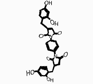 O=C1CC(Cc2ccc(O)cc2O)C(=O)N1c1ccc(N2C(=O)CC(Cc3ccc(O)cc3O)C2=O)cc1